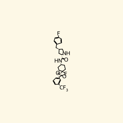 O=C(N[C@H]1CC[C@@](F)(S(=O)(=O)c2cccc(C(F)(F)F)c2)CC1)[C@@H]1C[C@@H](Cc2ccc(F)cc2)CN1